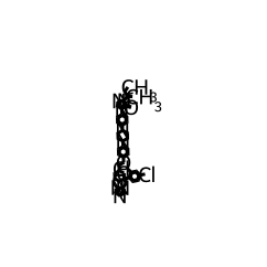 CCC(C)n1ncn(-c2ccc(N3CCN(c4ccc(OCC5CCOC(Cn6cncn6)(c6ccc(Cl)cc6Cl)O5)cc4)CC3)cc2)c1=O